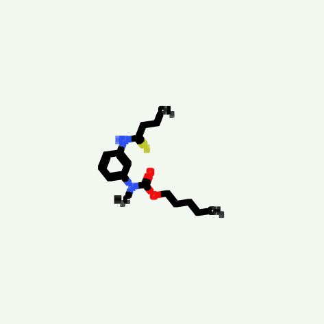 CCCCCOC(=O)N(C)c1cccc(NC(=S)CCC)c1